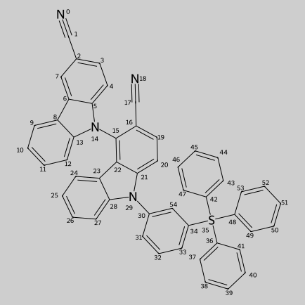 N#Cc1ccc2c(c1)c1ccccc1n2-c1c(C#N)ccc2c1c1ccccc1n2-c1cccc(S(c2ccccc2)(c2ccccc2)c2ccccc2)c1